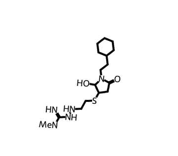 CNC(=N)NNCCSC1CC(=O)N(CCC2CCCCC2)C1O